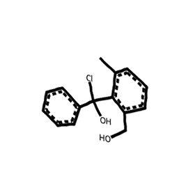 Cc1cccc(CO)c1C(O)(Cl)c1ccccc1